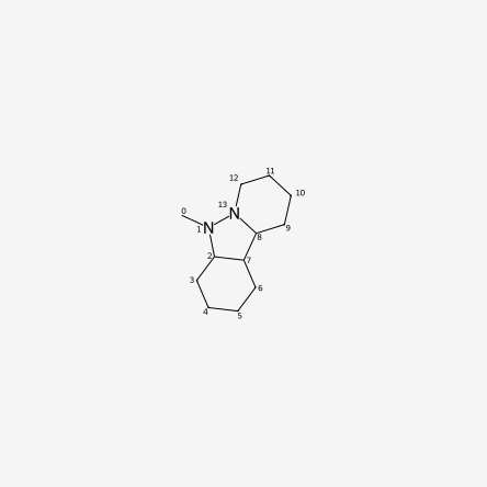 CN1C2CCCCC2C2CCCCN21